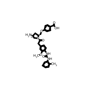 COc1cc(CC(=O)N2C[C@@H](N)C[C@H]2COc2ccc(C(=O)O)cc2)ccc1NC(=O)Nc1ccccc1C